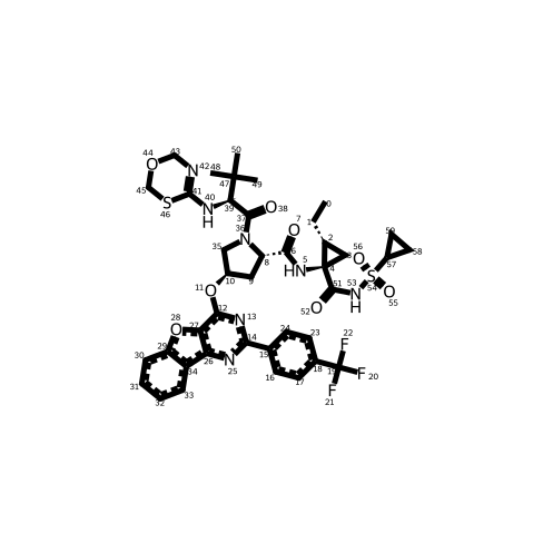 CC[C@@H]1C[C@]1(NC(=O)[C@@H]1C[C@@H](Oc2nc(-c3ccc(C(F)(F)F)cc3)nc3c2oc2ccccc23)CN1C(=O)[C@@H](NC1=NCOCS1)C(C)(C)C)C(=O)NS(=O)(=O)C1CC1